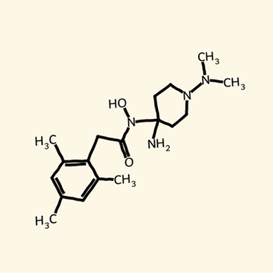 Cc1cc(C)c(CC(=O)N(O)C2(N)CCN(N(C)C)CC2)c(C)c1